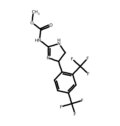 COC(=O)NC1=NC(c2ccc(C(F)(F)F)cc2C(F)(F)F)CN1